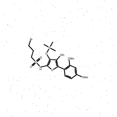 COc1ccc(-c2oc(NS(=O)(=O)CCCBr)c(O[Si](C)(C)C)c2O)c(OC)c1